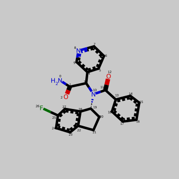 NC(=O)C(c1cccnc1)N(C(=O)c1ccccc1)[C@@H]1CCc2ccc(F)cc21